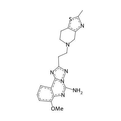 COc1cccc2c1nc(N)n1nc(CCN3CCc4sc(C)nc4C3)nc21